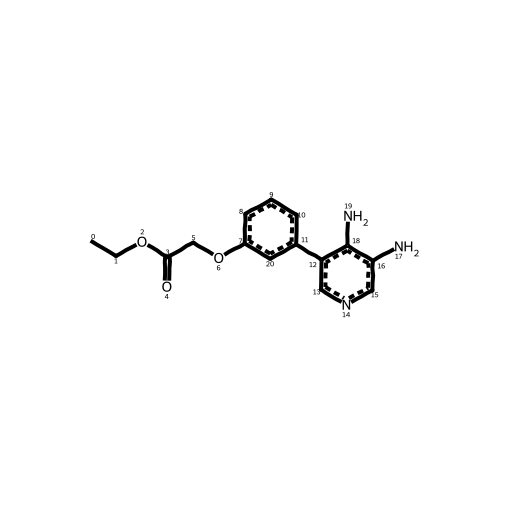 CCOC(=O)COc1cccc(-c2cncc(N)c2N)c1